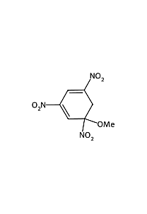 COC1([N+](=O)[O-])C=C([N+](=O)[O-])C=C([N+](=O)[O-])C1